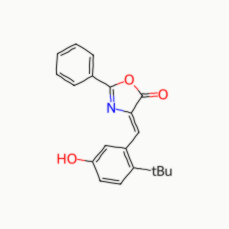 CC(C)(C)c1ccc(O)cc1C=C1N=C(c2ccccc2)OC1=O